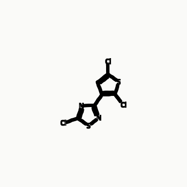 Clc1cc(-c2nsc(Cl)n2)c(Cl)s1